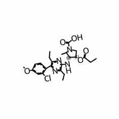 CCC(=O)O[C@H]1CN(C(=O)O)C(C)[C@H]1Nc1nc(CC)c(-c2ccc(OC)cc2Cl)nc1CC